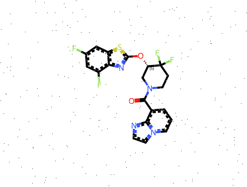 O=C(c1cccn2ccnc12)N1CCC(F)(F)[C@@H](Oc2nc3c(F)cc(F)cc3s2)C1